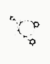 CC(C)[C@H]1NC(=O)[C@@H](Cc2cccc(I)c2)NCCOc2ccccc2CCCNC(=O)[C@H](CNc2nccs2)NC1=O